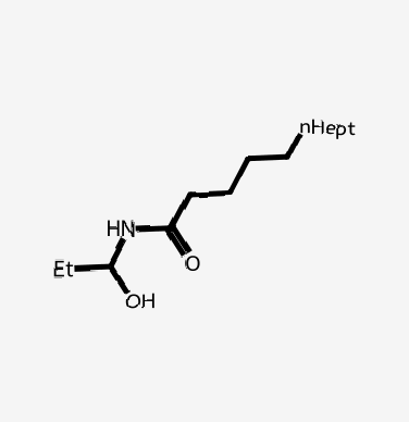 CCCCCCCCCCCC(=O)NC(O)CC